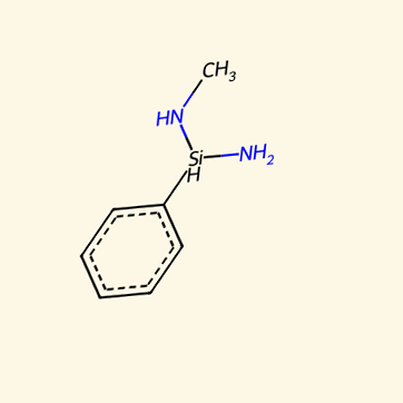 CN[SiH](N)c1ccccc1